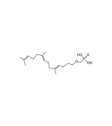 CC(C)=CCCC(C)=CCCC(C)=CCCCOCP(=O)(O)O